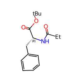 CCC(=O)N[C@H](Cc1ccccc1)C(=O)OC(C)(C)C